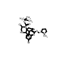 CN1CCC[C@H]1COc1cc(C2(CC#N)C(C#N)NCC(Cl)N2C(=O)OC(C)(C)C)c2ccc(Br)cc2n1